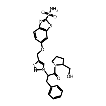 NS(=O)(=O)c1nc2ccc(OCc3cn(C(Cc4ccccc4)C(=O)N4CCCC4CO)nn3)cc2s1